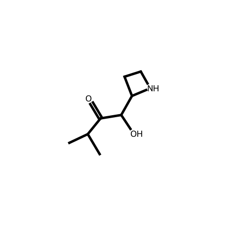 CC(C)C(=O)C(O)C1CCN1